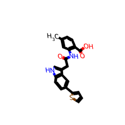 Cc1ccc(C(=O)O)c(NC(=O)Cc2c[nH]c3ccc(-c4cccs4)cc23)c1